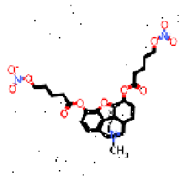 CN1CC[C@]23c4c5ccc(OC(=O)CCCCO[N+](=O)[O-])c4OC2C(OC(=O)CCCCO[N+](=O)[O-])C=CC3C1C5